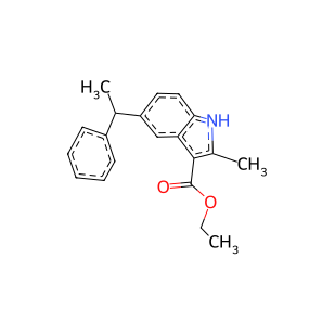 CCOC(=O)c1c(C)[nH]c2ccc(C(C)c3ccccc3)cc12